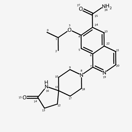 CC(C)Oc1cc2c(N3CCC4(CCC(=O)N4)CC3)nccc2cc1C(N)=O